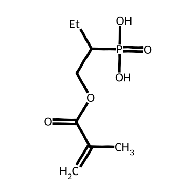 C=C(C)C(=O)OCC(CC)P(=O)(O)O